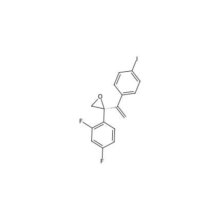 C=C(c1ccc(I)cc1)[C@]1(c2ccc(F)cc2F)CO1